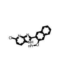 CCCOc1cc2ccccc2cc1-c1nc2nc(Cl)ccc2[nH]1